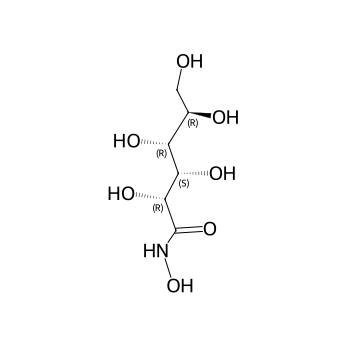 O=C(NO)[C@H](O)[C@@H](O)[C@H](O)[C@H](O)CO